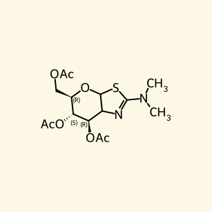 CC(=O)OC[C@H]1OC2SC(N(C)C)=NC2[C@@H](OC(C)=O)[C@@H]1OC(C)=O